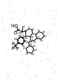 CC(C)(C(=O)O)C1CCCC(N(CC2CCCCC2)CC2CCCCC2)C1c1ccc(C(F)(F)F)cc1